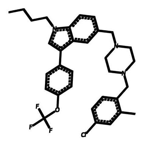 CCCCn1cc(-c2ccc(OC(F)(F)F)cc2)c2cc(CN3CCN(Cc4ccc(Cl)cc4C)CC3)ccc21